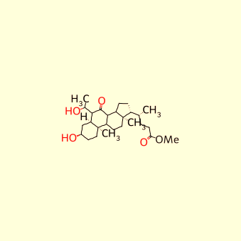 COC(=O)CC[C@@H](C)[C@H]1CCC2C3C(=O)C(C(C)O)[C@@H]4C[C@H](O)CC[C@]4(C)C3CC[C@@]21C